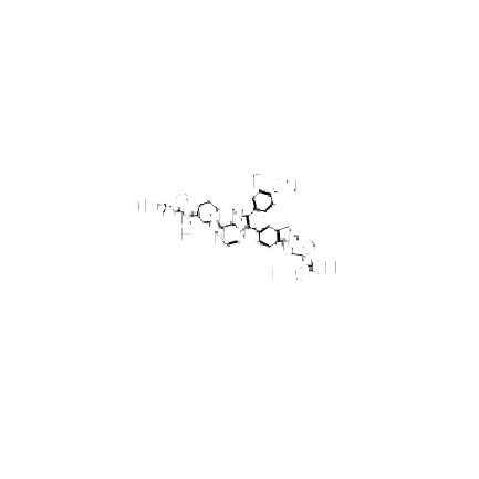 CN(C)C(=O)Cn1ncc2cc(-c3c(-c4ccc(C#N)c(F)c4)nc4c(N5CCC[C@@H](NC(=O)OC(C)(C)C)C5)nccn34)ccc21